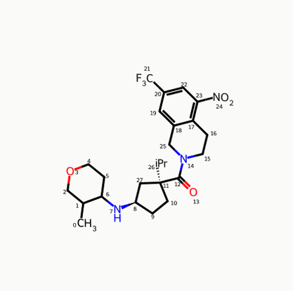 CC1COCCC1N[C@@H]1CC[C@@](C(=O)N2CCc3c(cc(C(F)(F)F)cc3[N+](=O)[O-])C2)(C(C)C)C1